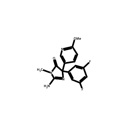 COc1ccc(C2(c3cc(F)cc(F)c3)N=C(N)N(C)C2=O)cn1